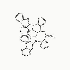 C=C1CC2c3ccccc3N3c4nc5ccccc5nc4N(c4ccccc4)C3C2C2N(c3ccccc3)c3cc4nccnc4cc3N2c2ccccc21